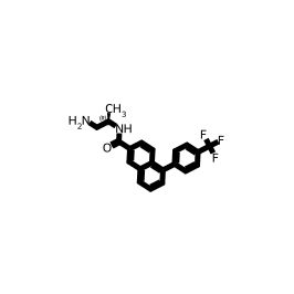 C[C@H](CN)NC(=O)c1ccc2c(-c3ccc(C(F)(F)F)cc3)cccc2c1